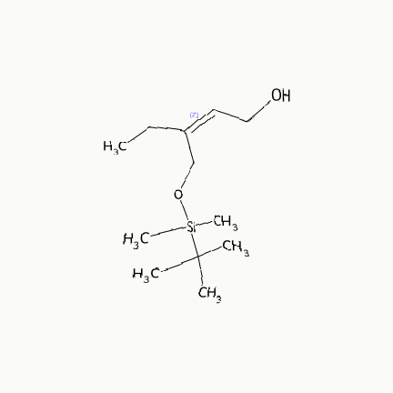 CC/C(=C/CO)CO[Si](C)(C)C(C)(C)C